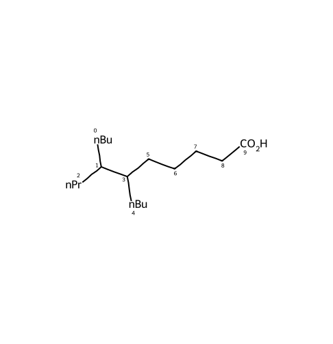 CCCCC(CCC)C(CCCC)CCCCC(=O)O